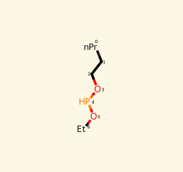 CCCCCOPOCC